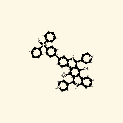 Cc1c2c(-c3ccncc3)nc3cc(-c4ccc(P(=O)(c5ccccc5)c5ccccc5)cc4)ccc3c2c(C)c2c(-c3ccncc3)nc3ccccc3c12